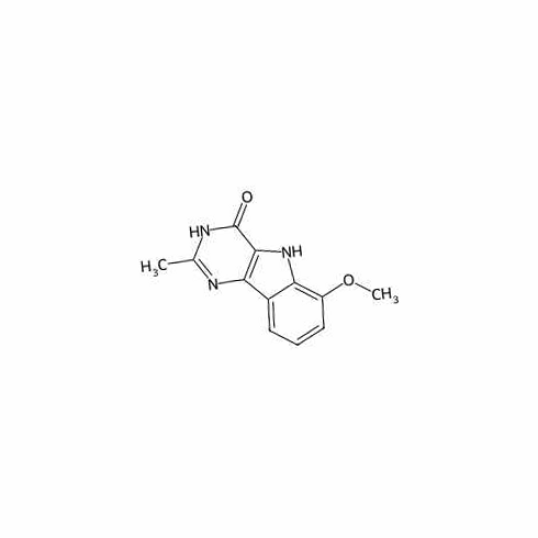 COc1cccc2c1[nH]c1c(=O)[nH]c(C)nc12